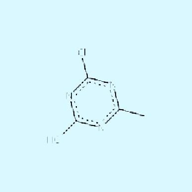 Cc1nc(O)nc(Cl)n1